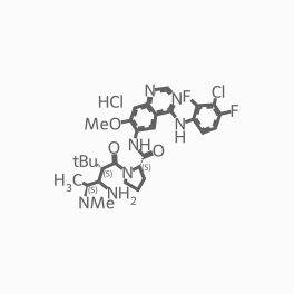 CN[C@@H](C)C(N)[C@@H](C(=O)N1CCC[C@H]1C(=O)Nc1cc2c(Nc3ccc(F)c(Cl)c3F)ncnc2cc1OC)C(C)(C)C.Cl